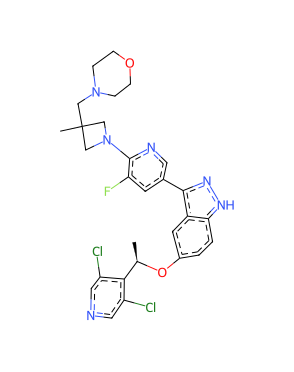 C[C@@H](Oc1ccc2[nH]nc(-c3cnc(N4CC(C)(CN5CCOCC5)C4)c(F)c3)c2c1)c1c(Cl)cncc1Cl